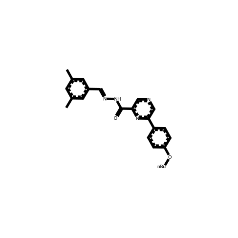 CCCCOc1ccc(-c2cncc(C(=O)N/N=C/c3cc(C)cc(C)c3)n2)cc1